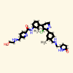 Cc1cc(-c2nccc(-c3cccc(NC(=O)c4ccc(CNCCO)cn4)c3C)c2Cl)ccc1CNC[C@H]1CCC(=O)N1